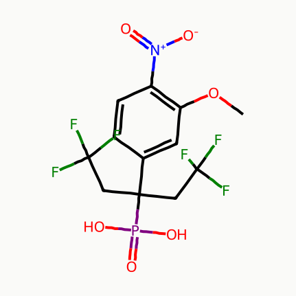 COc1cc(C(CC(F)(F)F)(CC(F)(F)F)P(=O)(O)O)ccc1[N+](=O)[O-]